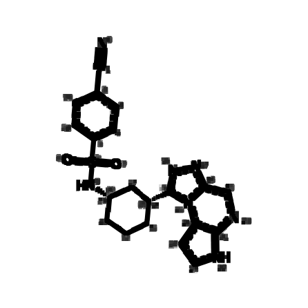 N#Cc1ccc(S(=O)(=O)N[C@H]2CCC[C@@H](c3nnc4cnc5[nH]ccc5n34)C2)cc1